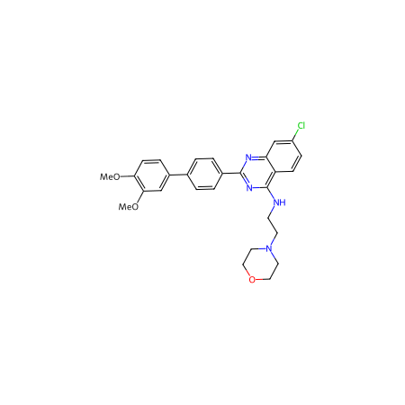 COc1ccc(-c2ccc(-c3nc(NCCN4CCOCC4)c4ccc(Cl)cc4n3)cc2)cc1OC